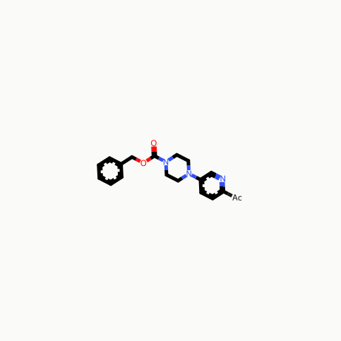 CC(=O)c1ccc(N2CCN(C(=O)OCc3ccccc3)CC2)cn1